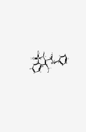 COC1=C(C(=O)Nc2ccccc2)N(C)S(=O)(=O)c2ccccc21